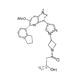 COc1cc2[nH]nc(-c3cnn(C4CN(C(=O)C[C@@H](C)O)C4)c3)c2nc1-c1cccc2c1CCC2